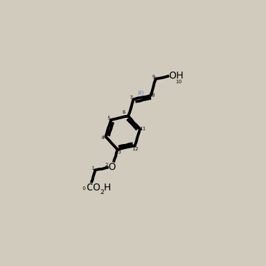 O=C(O)COc1ccc(/C=C/CO)cc1